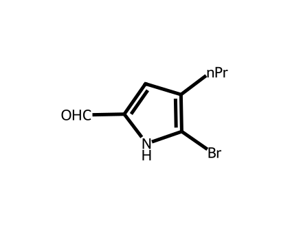 CCCc1cc(C=O)[nH]c1Br